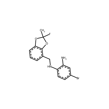 CC1(F)Oc2cccc(CNc3ccc(Br)cc3N)c2O1